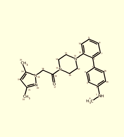 CNc1ccc(-c2ccccc2N2CCN(C(=O)Cn3nc(C)cc3C)CC2)cc1